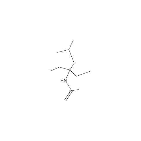 C=C(C)NC(CC)(CC)CC(C)C